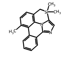 Cc1ccc2c3c1c1ccccc1c1ncc(n13)[Si](C)(C)C2